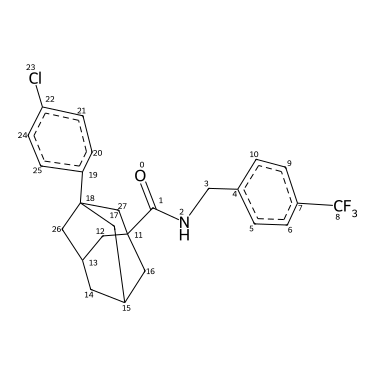 O=C(NCc1ccc(C(F)(F)F)cc1)C12CC3CC(C1)CC(c1ccc(Cl)cc1)(C3)C2